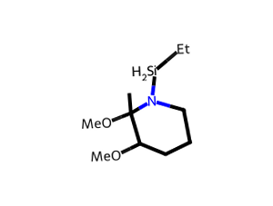 CC[SiH2]N1CCCC(OC)C1(C)OC